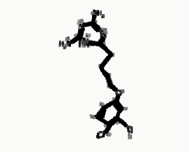 NC1=NC(CCCCOc2ccc(Cl)c(Cl)c2)NC(N)=N1